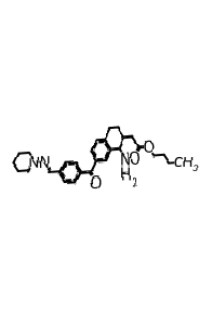 CCCCOC(=O)CC1CCc2ccc(C(=O)c3ccc(C=NN4CCCCC4)cc3)cc2C1N